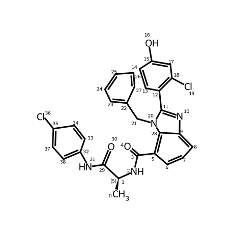 C[C@H](NC(=O)c1cccc2nc(-c3ccc(O)cc3Cl)n(Cc3ccccc3)c12)C(=O)Nc1ccc(Cl)cc1